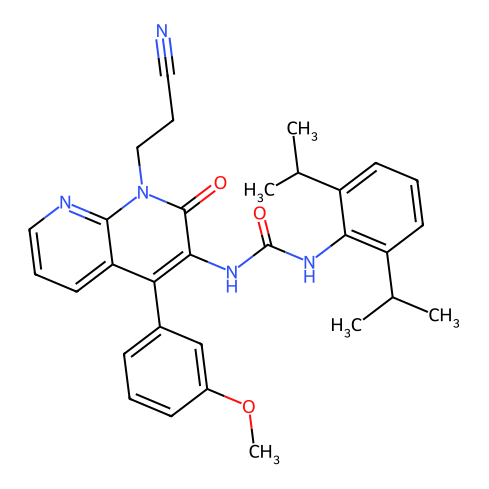 COc1cccc(-c2c(NC(=O)Nc3c(C(C)C)cccc3C(C)C)c(=O)n(CCC#N)c3ncccc23)c1